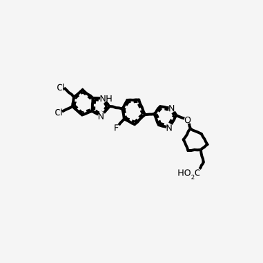 O=C(O)CC1CCC(Oc2ncc(-c3ccc(-c4nc5cc(Cl)c(Cl)cc5[nH]4)c(F)c3)cn2)CC1